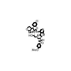 COc1ccc(S(=O)(=O)N[C@H](CCc2c(F)cncc2NC(=O)[C@@H](N=[N+]=[N-])[C@@H](c2ccc(Cl)cc2)C2CCOCC2)CN(C[C@@H](C)O)C(=O)O)cc1